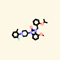 COc1cccc2c1n(Cc1ccccc1OC(C)C)c(=O)n2C1CCN(c2c(C)cccc2F)CC1